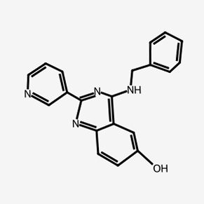 Oc1ccc2nc(-c3cccnc3)nc(NCc3ccccc3)c2c1